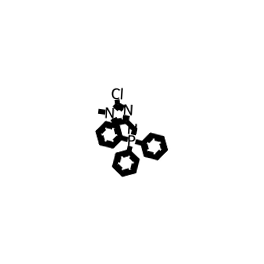 Cn1cc(C[PH](c2ccccc2)(c2ccccc2)c2ccccc2)nc1Cl